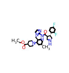 CCOC(=O)C1CCN(c2cc(C)ccc2Cn2ccnc2NC(=O)C2CNC[C@H]2c2ccc(F)cc2F)CC1